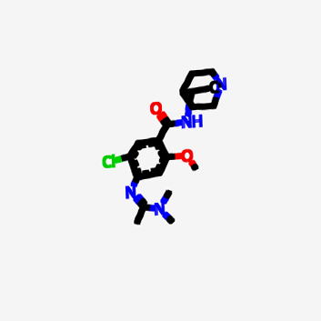 COc1cc(N=C(C)N(C)C)c(Cl)cc1C(=O)NC1CN2CCC1CC2